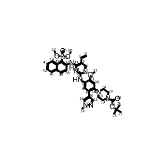 C=Cc1cnc(Nc2cc(-c3cnn(C)c3)c(N3CCN(C(=O)OC(C)(C)C)CC3)cc2OC)nc1Nc1ccc2ccccc2c1P(=O)(OC)OC